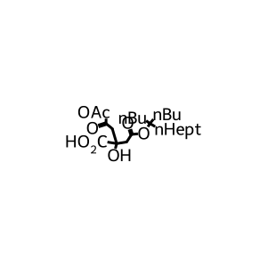 CCCCCCCC(CCCC)(CCCC)OC(=O)CC(O)(CC(=O)OC(C)=O)C(=O)O